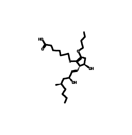 CCCCOC1=C(SCCCCCC(=O)O)[C@@H](/C=C/[C@@H](O)C[C@H](C)CCCC)[C@H](O)C1